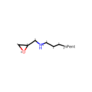 CCCCCCCCNCC1CO1